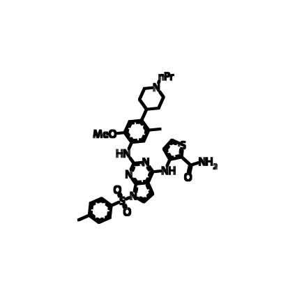 CCCN1CCC(c2cc(OC)c(Nc3nc(Nc4ccsc4C(N)=O)c4ccn(S(=O)(=O)c5ccc(C)cc5)c4n3)cc2C)CC1